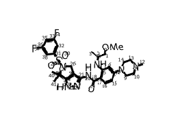 COC[C@H](C)Nc1cc(N2CCN(C)CC2)ccc1C(=O)Nc1n[nH]c2c1CN(S(=O)(=O)c1cc(F)cc(F)c1)C2(C)C